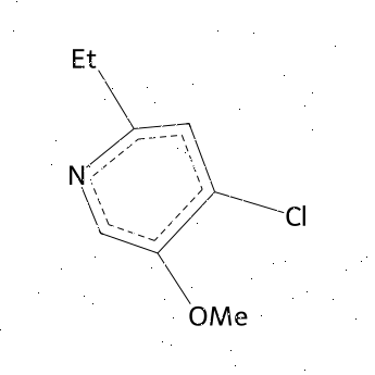 CCc1cc(Cl)c(OC)cn1